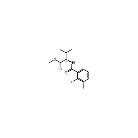 COC(=O)[C@H](NC(=O)c1cccc(C)c1F)C(C)C